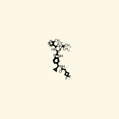 Cc1nonc1C(=O)N[C@@H](COC(C)(C)C(F)(F)F)c1nc2ccc([C@H](NC(=O)CC3CC(F)(F)C3)C3CC3)cc2[nH]1